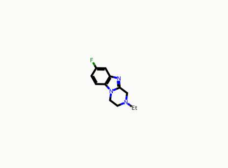 CCN1CCn2c(nc3cc(F)ccc32)C1